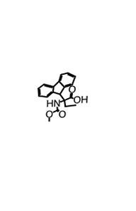 CCC(NC(=O)OC)(C(=O)O)C1c2ccccc2-c2ccccc21